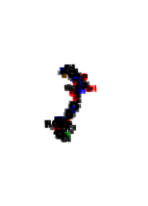 Cc1ncsc1-c1ccc(CNC(=O)[C@@H]2C[C@@H](O)CN2C(=O)C(NC(=O)COCC2CCN(c3ccc(C(=O)N[C@H]4C(C)(C)[C@H](Oc5ccc(C#N)c(Cl)c5)C4(C)C)cc3)CC2)C(C)(C)C)cc1